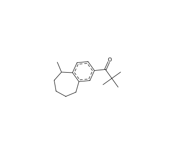 CC1CCCCc2cc(C(=O)C(C)(C)C)ccc21